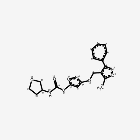 Cc1onc(-c2ccccc2)c1COc1cc(OC(=O)NC2CCOC2)on1